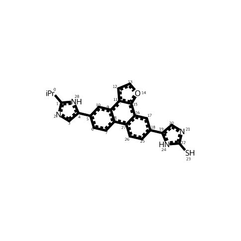 CC(C)c1ncc(-c2ccc3c(c2)c2ccoc2c2cc(-c4cnc(S)[nH]4)ccc32)[nH]1